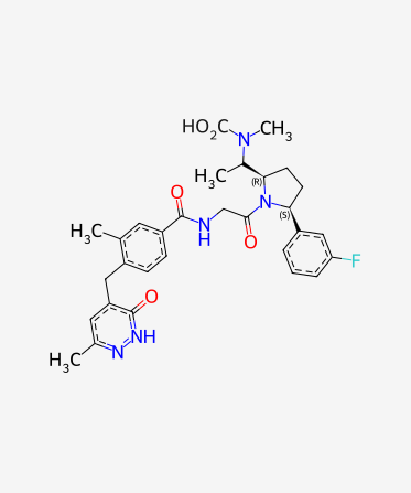 Cc1cc(Cc2ccc(C(=O)NCC(=O)N3[C@@H](C(C)N(C)C(=O)O)CC[C@H]3c3cccc(F)c3)cc2C)c(=O)[nH]n1